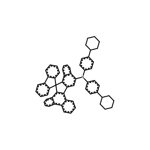 c1ccc2c(c1)-c1ccccc1C21c2c(cc(N(c3ccc(C4CCCCC4)cc3)c3ccc(C4CCCCC4)cc3)c3ccccc23)-c2c1c1ccccc1c1ccccc21